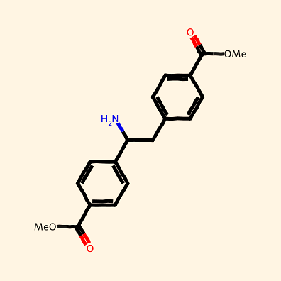 COC(=O)c1ccc(CC(N)c2ccc(C(=O)OC)cc2)cc1